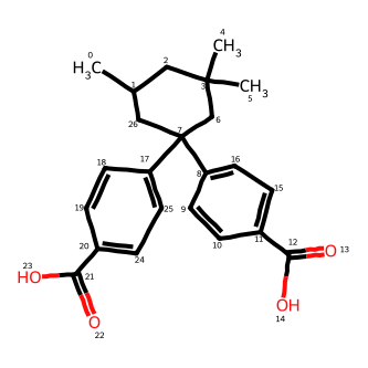 CC1CC(C)(C)CC(c2ccc(C(=O)O)cc2)(c2ccc(C(=O)O)cc2)C1